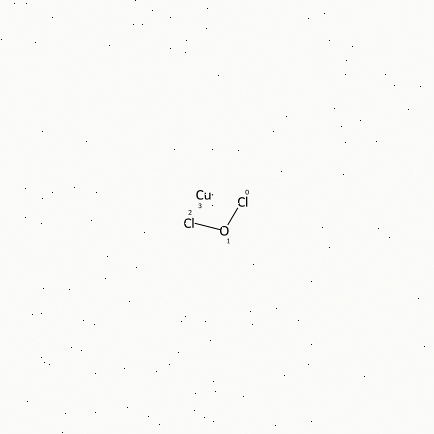 ClOCl.[Cu]